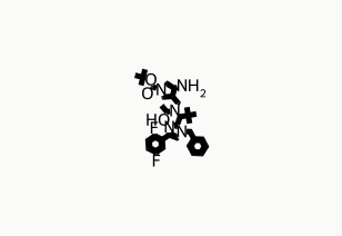 CC(O)N(CC1CN(C(=O)OC(C)(C)C)CC1N)[C@@H](c1nc(-c2cc(F)ccc2F)cn1Cc1ccccc1)C(C)(C)C